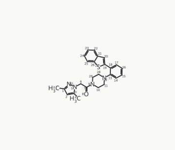 Cc1cc(C)n(CC(=O)N2CCN(c3ccccc3-c3cc4ccccc4s3)CC2)n1